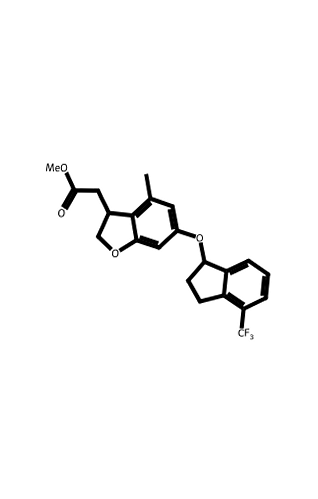 COC(=O)CC1COc2cc(OC3CCc4c3cccc4C(F)(F)F)cc(C)c21